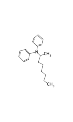 CCCCCCC(C)N(c1ccccc1)c1ccccc1